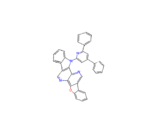 c1ccc(-c2cc(-c3ccccc3)nc(-n3c4ccccc4c4cnc5c(ncc6c7ccccc7oc65)c43)c2)cc1